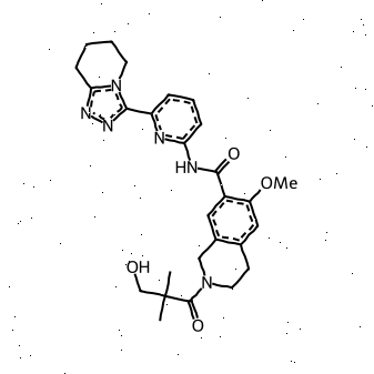 COc1cc2c(cc1C(=O)Nc1cccc(-c3nnc4n3CCCC4)n1)CN(C(=O)C(C)(C)CO)CC2